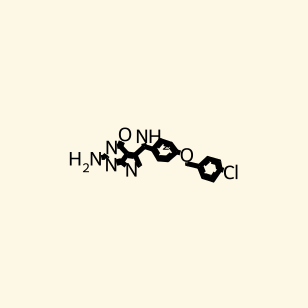 NC1=NC(=O)C2=C(C(N)c3ccc(OCc4ccc(Cl)cc4)cc3)C=NC2=N1